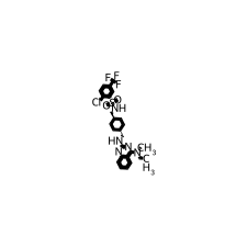 CCN(C)c1nc(NC[C@H]2CC[C@H](CNS(=O)(=O)c3cc(C(F)(F)F)ccc3Cl)CC2)nc2ccccc12